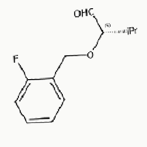 CC(C)[C@@H](C=O)OCc1ccccc1F